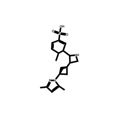 Cc1cc(C)n(C23CC(C4CNC4C4C=C(S(=O)(=O)O)C=CC4C)(C2)C3)n1